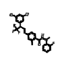 Cc1cc(/C=C/C(c2cc(Cl)cc(Cl)c2)C(F)(F)F)ccc1C(=O)NN(C)c1ccccc1F